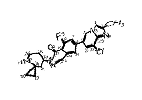 Cc1cn2cc(-c3cc(F)c4c(=O)n(C5CCNC6(CC6)C5)ncc4c3)cc(Cl)c2n1